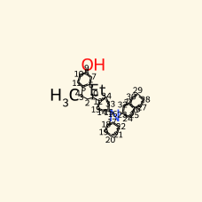 CCC(CC(C)c1ccc(O)cc1)c1ccc(N(c2ccccc2)c2ccc3ccccc3c2)cc1